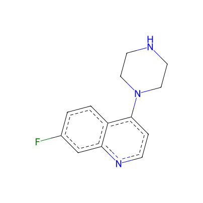 Fc1ccc2c(N3CCNCC3)ccnc2c1